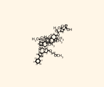 C=C(C)[C@@H]1CC[C@]2(C(=O)N3C[C@H](OCCOC)C[C@H]3c3nc(-c4ccccc4)c[nH]3)CC[C@]3(C)[C@H](CCC4[C@@]5(C)CC[C@H](OC(=O)[C@H]6C[C@@H](C(=O)O)C6(C)C)C(C)(C)[C@@H]5CC[C@]43C)[C@@H]12